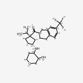 CC(C)[C@]1(C(=O)N2CCc3ccc(C(F)(F)F)cc3C2)CC[C@@H](NC2CCOCC2O)C1